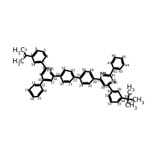 CC(C)c1cccc(-c2cc(-c3ccccc3)cc(-c3ccc(-c4ccc(-c5cc(-c6cccc(C(C)(C)C)c6)nc(-c6ccccc6)n5)cc4)cc3)n2)c1